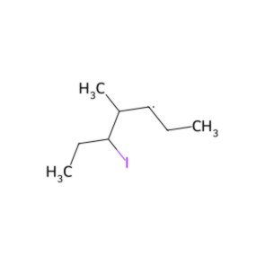 CC[CH]C(C)C(I)CC